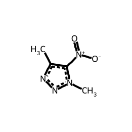 Cc1nnn(C)c1[N+](=O)[O-]